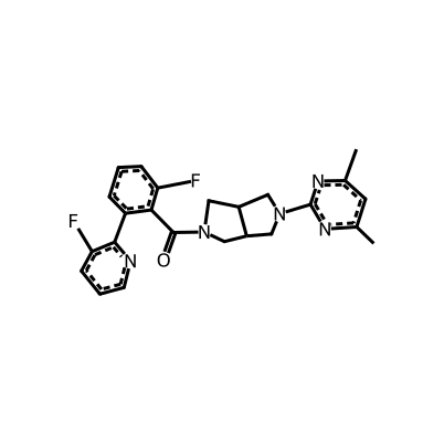 Cc1cc(C)nc(N2CC3CN(C(=O)c4c(F)cccc4-c4ncccc4F)CC3C2)n1